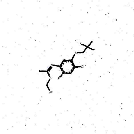 CC(=O)CS/C(C)=N\c1cc(SCC(C)(F)F)c(Cl)cc1F